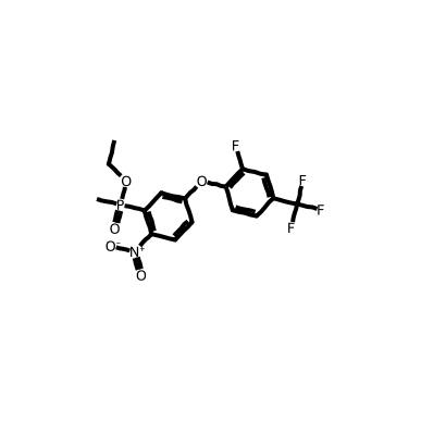 CCOP(C)(=O)c1cc(Oc2ccc(C(F)(F)F)cc2F)ccc1[N+](=O)[O-]